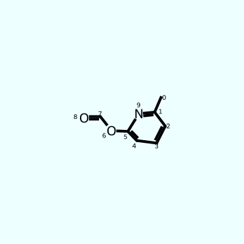 Cc1cccc(OC=O)n1